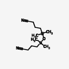 C[Si](C)(CCCC#N)O[Si](C)(C)CCCC#N